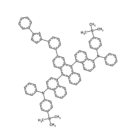 C[Si](C)(C)c1ccc(N(c2ccccc2)c2ccc(-c3c4ccccc4c(-c4cccc5c(N(c6ccccc6)c6ccc([Si](C)(C)C)cc6)cccc45)c4cc(-c5cccc(-c6ccc(-c7ccccc7)s6)c5)ccc34)c3ccccc23)cc1